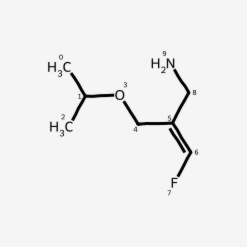 CC(C)OC/C(=C\F)CN